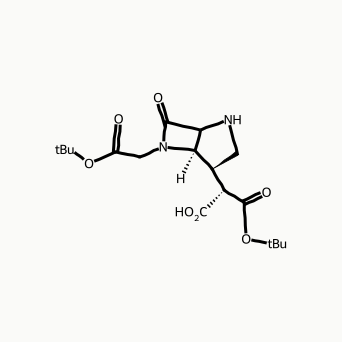 CC(C)(C)OC(=O)CN1C(=O)C2NC[C@@H]([C@@H](C(=O)O)C(=O)OC(C)(C)C)[C@H]21